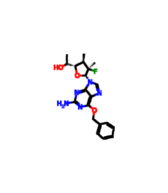 CC(O)[C@H]1O[C@@H](n2cnc3c(OCc4ccccc4)nc(N)nc32)[C@](C)(F)[C@@H]1C